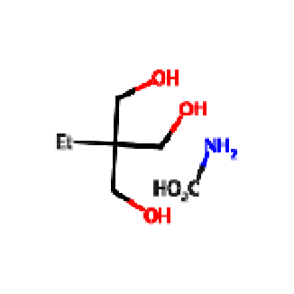 CCC(CO)(CO)CO.NC(=O)O